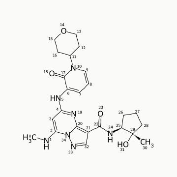 CNc1cc(Nc2cccn(C3CCOCC3)c2=O)nc2c(C(=O)N[C@H]3CCC[C@]3(C)O)cnn12